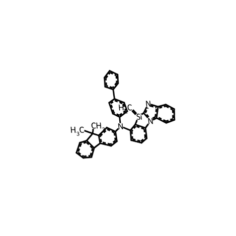 C=[Si]1c2c(N(c3ccc(-c4ccccc4)cc3)c3ccc4c(c3)C(C)(C)c3ccccc3-4)cccc2-n2c1nc1ccccc12